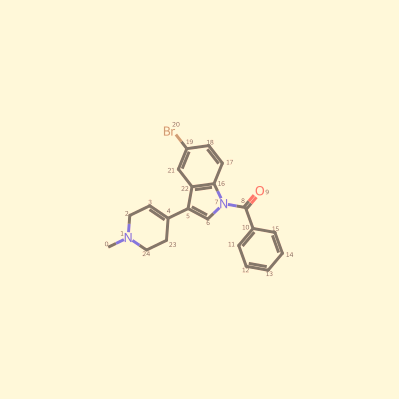 CN1CC=C(c2cn(C(=O)c3ccccc3)c3ccc(Br)cc23)CC1